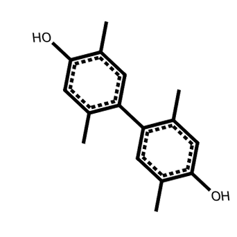 Cc1cc(-c2cc(C)c(O)cc2C)c(C)cc1O